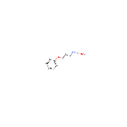 O=C=NCCCOc1ccccc1